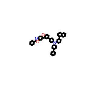 c1ccc(-c2ccc(N(c3ccc(-c4ccc5oc6cc7nc(-c8ccccc8)oc7cc6c5c4)cc3)c3cccc(-c4cccc5ccccc45)c3)cc2)cc1